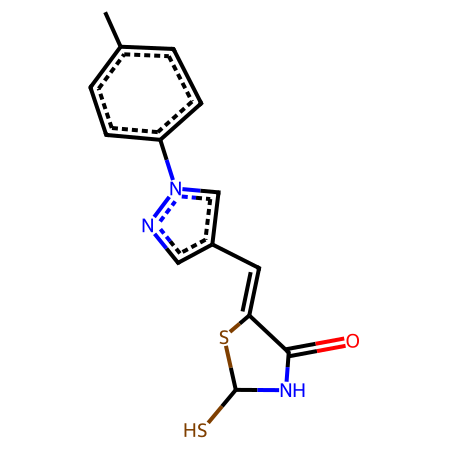 Cc1ccc(-n2cc(/C=C3\SC(S)NC3=O)cn2)cc1